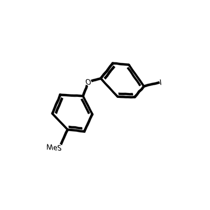 CSc1ccc(Oc2ccc(I)cc2)cc1